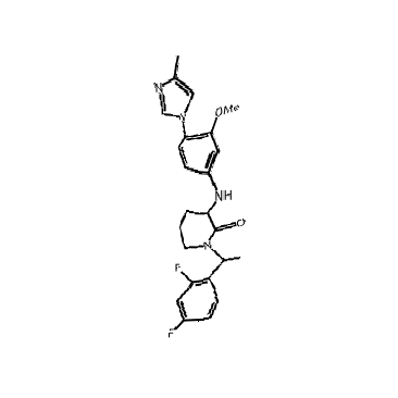 COc1cc(NC2CCCN(C(C)c3ccc(F)cc3F)C2=O)ccc1-n1cnc(C)c1